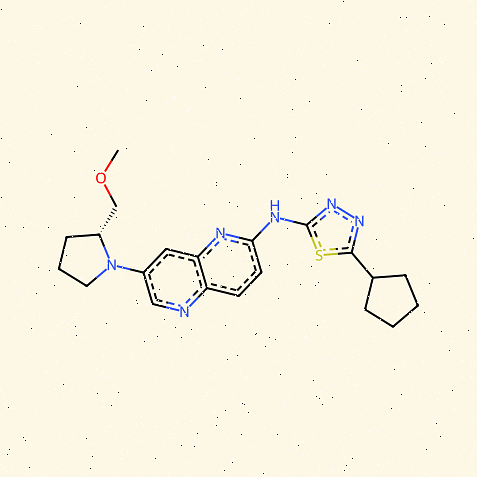 COC[C@H]1CCCN1c1cnc2ccc(Nc3nnc(C4CCCC4)s3)nc2c1